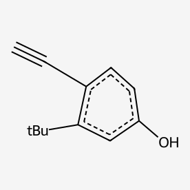 C#Cc1ccc(O)cc1C(C)(C)C